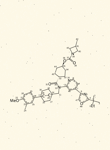 CCC(C)(C)c1nc(-c2ccnc(N(CC34CCC(c5ccc(OC)c(C)c5)(CC3)CC4)C(=O)[C@H]3CC[C@H](OC(=O)N4CC(C)C4)CC3)c2)co1